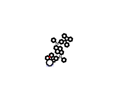 C=C1/C=C\C=C/Cc2ccccc2C1(c1ccccc1)c1ccc(N(c2ccccc2)c2ccc3ccc4c(N(c5ccccc5)c5ccc(C6(c7ccccc7)c7ccccc7-c7ccccc76)cc5)ccc5ccc2c3c54)cc1